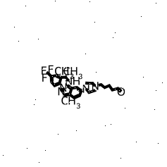 Cc1c([C@@H](C)Nc2nnc(C)c3ccc(N4CCN(CCCCC=O)CC4)cc23)cccc1C(F)(F)F